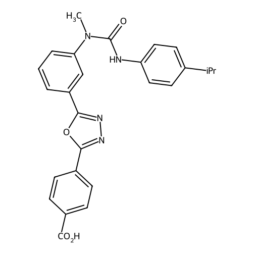 CC(C)c1ccc(NC(=O)N(C)c2cccc(-c3nnc(-c4ccc(C(=O)O)cc4)o3)c2)cc1